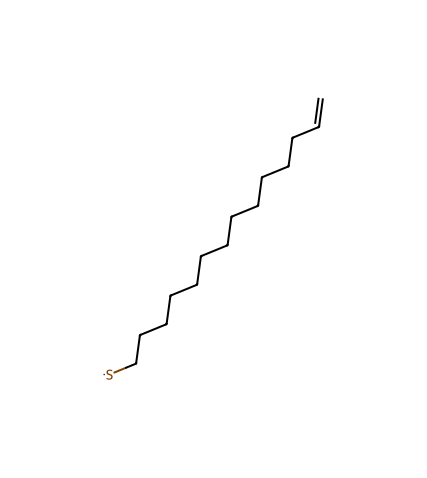 C=CCCCCCCCCCCCC[S]